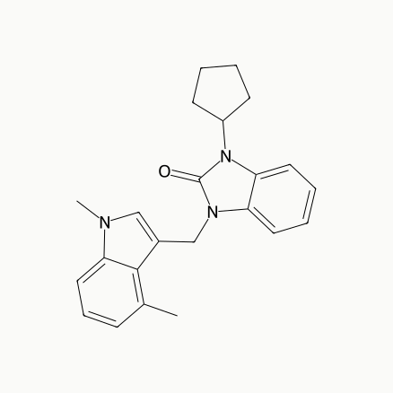 Cc1cccc2c1c(Cn1c(=O)n(C3CCCC3)c3ccccc31)cn2C